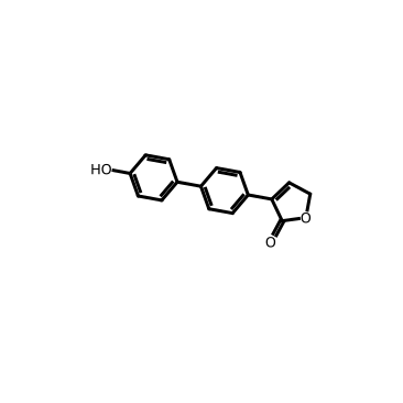 O=C1OCC=C1c1ccc(-c2ccc(O)cc2)cc1